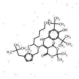 CCCCCC(C)N(Cc1ccc(CC(C)(C)C)s1)C(Nc1cc(C(C)(C)C)c(O)c(C(C)(C)C)c1)=C1C(=O)OC(C)(C)OC1=O